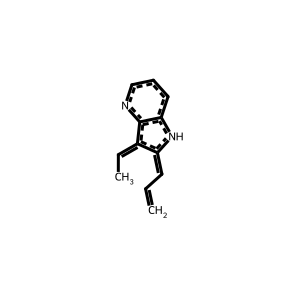 C=C/C=c1/[nH]c2cccnc2/c1=C/C